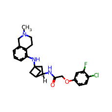 CN1CCc2c(cccc2NC23CC(C2)[C@@H](NC(=O)COc2ccc(Cl)c(F)c2)C3)C1